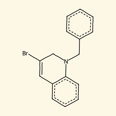 BrC1=Cc2ccccc2N(Cc2ccccc2)C1